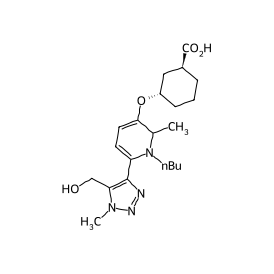 CCCCN1C(c2nnn(C)c2CO)=CC=C(O[C@H]2CCC[C@H](C(=O)O)C2)C1C